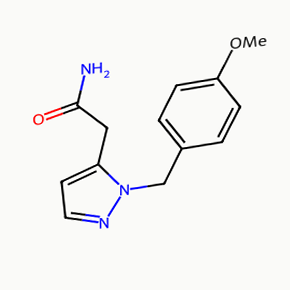 COc1ccc(Cn2nccc2CC(N)=O)cc1